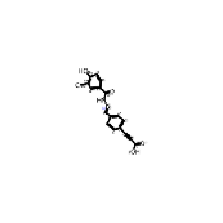 O=C(O)C#Cc1ccc(/C=N/NC(=O)c2ccc(O)c(Cl)c2)cc1